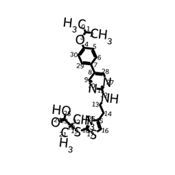 CC(C)Oc1ccc(-c2cnc(NCCc3csc(SC(C)(C)C(=O)O)n3)nc2)cc1